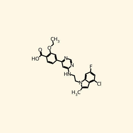 CCOc1cc(-c2cc(NCCn3c(C)cc4c(Cl)cc(F)cc43)ncn2)ccc1C(=O)O